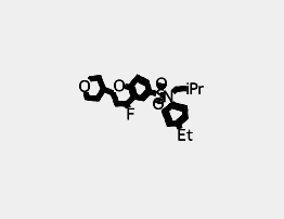 CCc1ccc(N(CC(C)C)S(=O)(=O)c2ccc3c(c2)C(F)CC(C2CCOCC2)O3)cc1